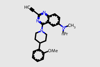 C#Cc1nc(N2CCC(c3ccccc3OC)CC2)c2cc(N(C)CCC)ccc2n1